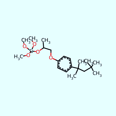 CO[Si](OC)(OC)OC(C)COc1ccc(C(C)(C)CC(C)(C)C)cc1